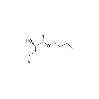 C=CC[C@@H](O)[C@@H](C)OCCCC